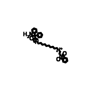 C[N+](C)(CCCCCCCCCCN1CCC(C(C(N)=O)(c2ccccc2)c2ccccc2)C1)CCN1C(=O)c2ccccc2C1=O